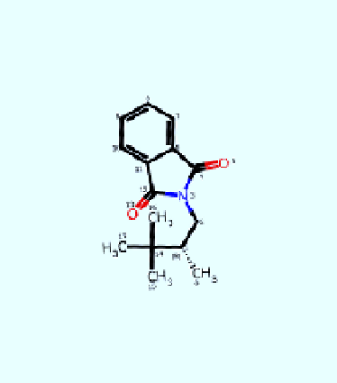 C[C@@H](CN1C(=O)c2ccccc2C1=O)C(C)(C)C